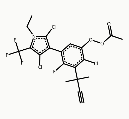 C#CC(C)(C)c1c(F)c(-c2c(Cl)c(C(F)(F)F)n(CC)c2Cl)cc(OOC(C)=O)c1Cl